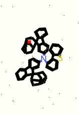 c1ccc2c(c1)-c1ccc(N(c3ccc4c(c3)C3(c5ccccc5-4)C4CC5CC(C4)CC3C5)c3cccc4sc5ccccc5c34)cc1C21C2CCC3CC(C2)CC1C3